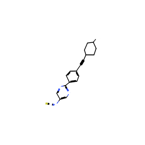 CCCCC1CCC(C#Cc2ccc(-c3ncc(N=C=S)cn3)cc2)CC1